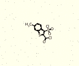 Cc1ccc2c(S(=O)(=O)Cl)c(C(=O)Cl)sc2c1